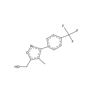 Cc1c(-c2ccc(C(F)(F)F)cc2)noc1CO